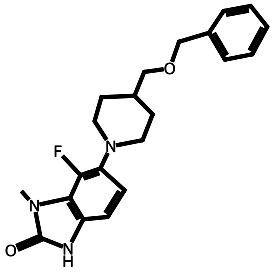 Cn1c(=O)[nH]c2ccc(N3CCC(COCc4ccccc4)CC3)c(F)c21